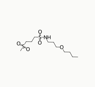 CCCCOCCCNS(=O)(=O)CCCS(C)(=O)=O